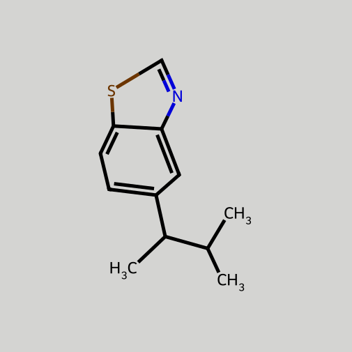 CC(C)C(C)c1ccc2scnc2c1